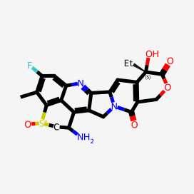 CC[C@@]1(O)C(=O)OCc2c1cc1n(c2=O)Cc2c-1nc1cc(F)c(C)c3c1c2C(N)C[S+]3[O-]